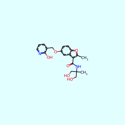 Cc1oc2ccc(OCc3cccnc3O)cc2c1C(=O)NC(C)(CO)CO